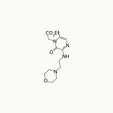 CCOC(=O)Cn1c(C)cnc(NCCN2CCOCC2)c1=O